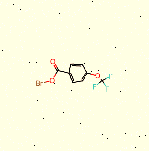 O=C(OBr)c1ccc(OC(F)(F)F)cc1